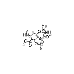 CNc1cc2c(cc1C(=O)OC)N(OC(C)=O)C(=O)C(NC)(NC)O2